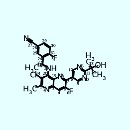 Cc1nc2cc(F)c(-c3cnc(C(C)(C)O)nc3)nc2c(N[C@H](C)c2cc(C#N)ccc2F)c1Cl